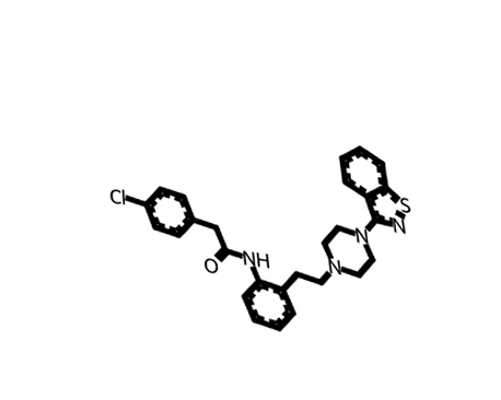 O=C(Cc1ccc(Cl)cc1)Nc1ccccc1CCN1CCN(c2nsc3ccccc23)CC1